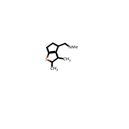 CNCC1CCC2=C1C(C)C(C)S2